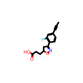 CC#Cc1ccc(C2=NOC(CCC(=O)O)C2)c(F)c1